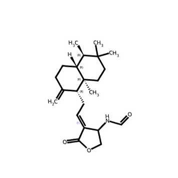 C=C1CC[C@@H]2[C@@H](C)C(C)(C)CC[C@@]2(C)[C@@H]1C/C=C1/C(=O)OCC1NC=O